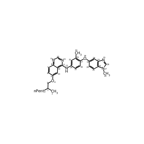 CCCCCC(C)COc1ccc2ncnc(Nc3ccc(Oc4ccc5c(c4)ncn5C)c(C)c3)c2c1